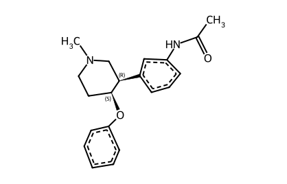 CC(=O)Nc1cccc([C@@H]2CN(C)CC[C@@H]2Oc2ccccc2)c1